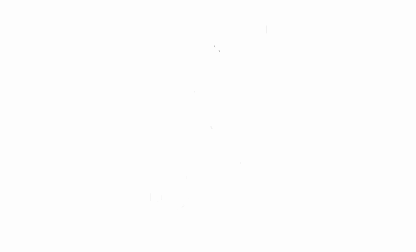 CC1=C(c2cccc(F)c2)C(c2ccc(OCCN3CC(CF)C3)cc2)Oc2c(O)cccc21